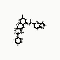 CC1C/C(=N\Nc2ccc3nccn3n2)C2C=C(NC(=O)c3ccccc3)C(=O)OC2C1